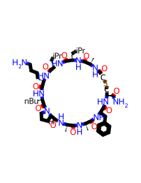 CCCC[C@@H]1NC(=O)[C@H](CCCCN)NC(=O)[C@H](CC(C)C)NC(=O)[C@H](CC(C)C)NC(=O)[C@H](C)NC(=O)CSC[C@@H](C(N)=O)NC(=O)C(Cc2ccccc2)NC(=O)[C@H](C)NC(=O)[C@H](C)NC(=O)[C@@H]2CCCN2C1=O